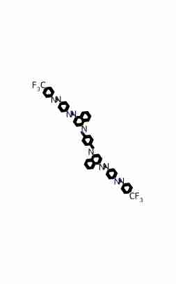 FC(F)(F)c1ccc(/N=N/c2ccc(/N=N/c3ccc(/N=C/c4ccc(/C=N/c5ccc(/N=N/c6ccc(/N=N/c7ccc(C(F)(F)F)cc7)cc6)c6ccccc56)cc4)c4ccccc34)cc2)cc1